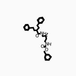 C[C@@H](CCNC(=O)OCc1ccccc1)CNC(=O)C(CCc1ccccc1)CCc1ccccc1